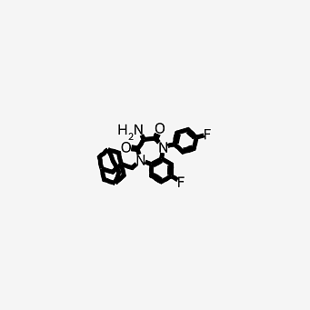 NC1C(=O)N(CC23CC4CC(CC(C4)C2)C3)c2ccc(F)cc2N(c2ccc(F)cc2)C1=O